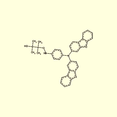 CC(C)(O)C(C)(C)OBc1ccc(N(c2ccc3c(c2)oc2ccccc23)c2ccc3sc4ccccc4c3c2)cc1